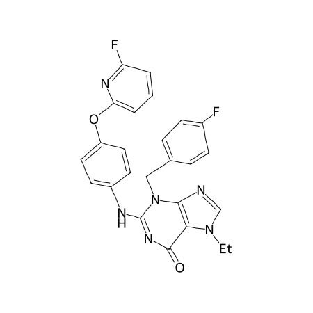 CCn1cnc2c1c(=O)nc(Nc1ccc(Oc3cccc(F)n3)cc1)n2Cc1ccc(F)cc1